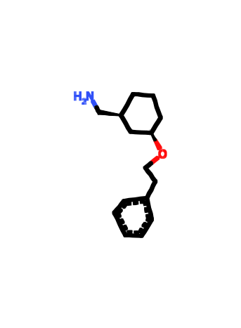 NC[C@H]1CCC[C@@H](OCCc2ccccc2)C1